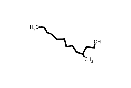 CCCCCCCCCC(C)CCO